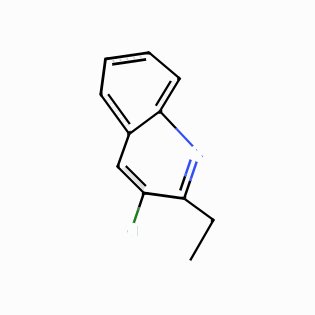 CCc1nc2ccccc2cc1Cl